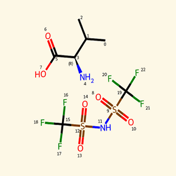 CC(C)[C@@H](N)C(=O)O.O=S(=O)(NS(=O)(=O)C(F)(F)F)C(F)(F)F